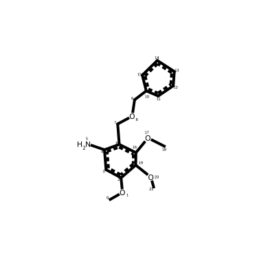 COc1cc(N)c(COCc2ccccc2)c(OC)c1OC